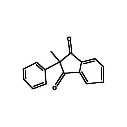 CC1(c2ccccc2)C(=O)c2ccccc2C1=O